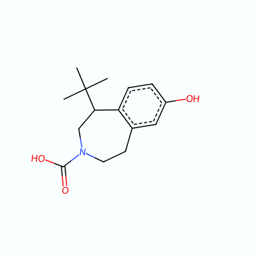 CC(C)(C)C1CN(C(=O)O)CCc2cc(O)ccc21